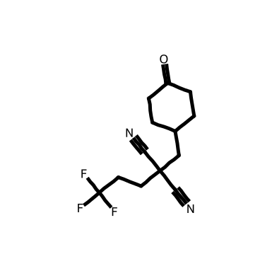 N#CC(C#N)(CCC(F)(F)F)CC1CCC(=O)CC1